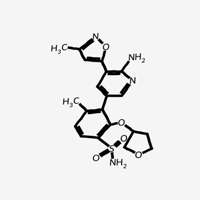 Cc1cc(-c2cc(-c3c(C)ccc(S(N)(=O)=O)c3OC3CCOC3)cnc2N)on1